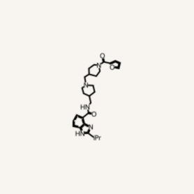 CC(C)c1nc2c(C(=O)NCC3CCN(CC4CCN(C(=O)c5ccco5)CC4)CC3)cccc2[nH]1